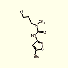 CN(CCCCl)C(=O)Nc1cc(C(C)(C)C)on1